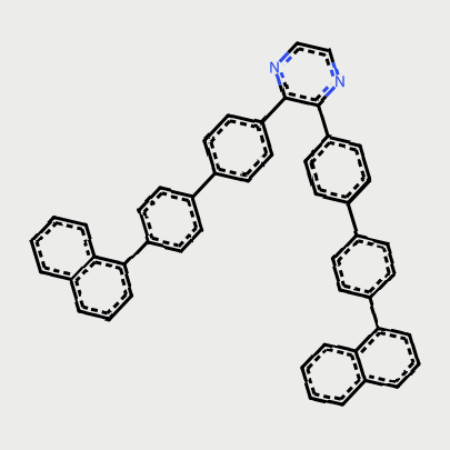 c1ccc2c(-c3ccc(-c4ccc(-c5nccnc5-c5ccc(-c6ccc(-c7cccc8ccccc78)cc6)cc5)cc4)cc3)cccc2c1